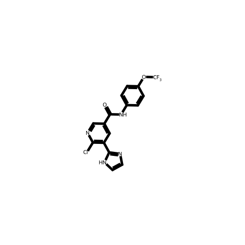 O=C(Nc1ccc(OC(F)(F)F)cc1)c1cnc(Cl)c(-c2ncc[nH]2)c1